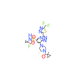 C[C@@H]1CN(c2cc(S(=O)(=O)NC3(CF)CC3)cn3c(-c4nnc(C(F)F)s4)nnc23)CCN1C(=O)C1(C)CC1